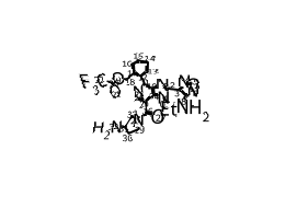 CCn1c(-c2nonc2N)nc2c(-c3ccccc3COC(=O)C(F)(F)F)ncc(C(=O)N3CCC(N)C3)c21